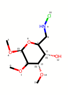 COC1[C@@H](OC)OC(CNCl)[C@H](O)[C@@H]1OC